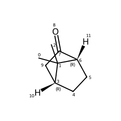 CC1(C)[C@@H]2CC[C@H]1C(=O)C2